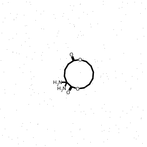 NC1(N)CCCC(=O)OCCCCCCOC1=O